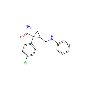 NC(=O)C1(c2ccc(Cl)cc2)CC1CNc1ccccc1